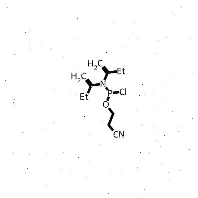 C=C(CC)N(C(=C)CC)P(Cl)OCCC#N